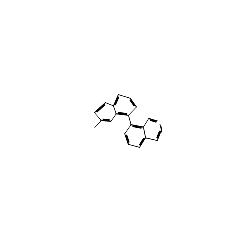 O=C(O)c1ccc2cccc(-c3cccc4ccncc34)c2c1